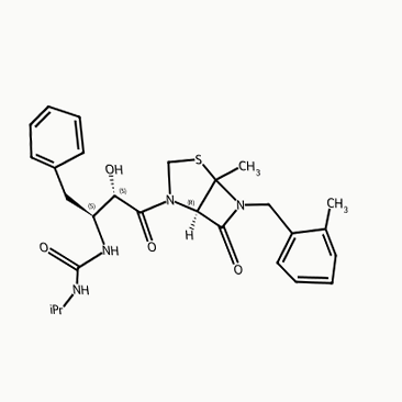 Cc1ccccc1CN1C(=O)[C@H]2N(C(=O)[C@@H](O)[C@H](Cc3ccccc3)NC(=O)NC(C)C)CSC21C